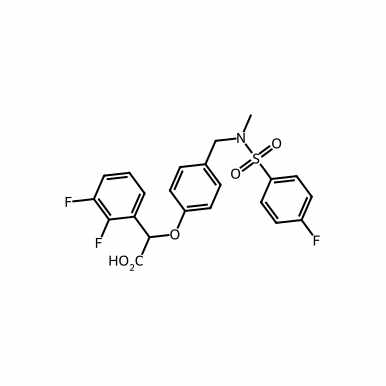 CN(Cc1ccc(OC(C(=O)O)c2cccc(F)c2F)cc1)S(=O)(=O)c1ccc(F)cc1